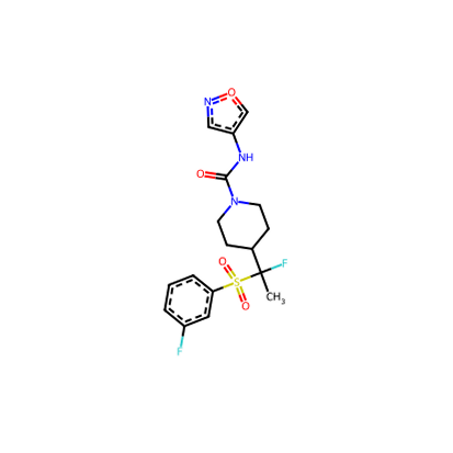 CC(F)(C1CCN(C(=O)Nc2cnoc2)CC1)S(=O)(=O)c1cccc(F)c1